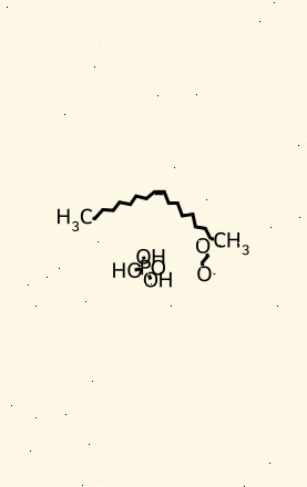 CCCCCCCC/C=C\CCCCCCC(C)OCC[O].O=P(O)(O)O